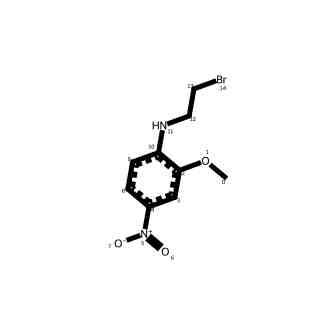 COc1cc([N+](=O)[O-])ccc1NCCBr